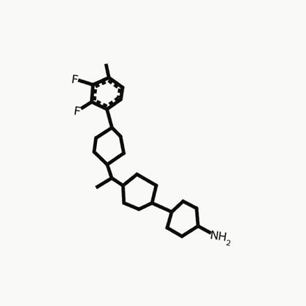 Cc1ccc(C2CCC(C(C)C3CCC(C4CCC(N)CC4)CC3)CC2)c(F)c1F